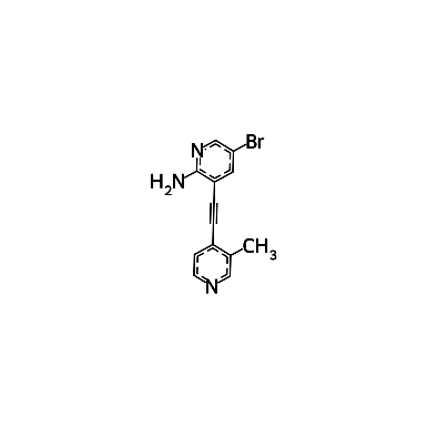 Cc1cnccc1C#Cc1cc(Br)cnc1N